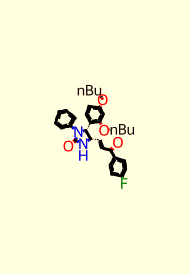 CCCCOc1ccc([C@@H]2[C@H](/C=C/C(=O)c3ccc(F)cc3)NC(=O)N2c2ccccc2)c(OCCCC)c1